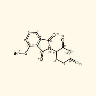 CC(C)Sc1cccc2c1C(=O)N(C1CCC(=O)NC1=O)C2=O